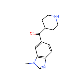 Cn1cnc2ccc(C(=O)C3CCNCC3)cc21